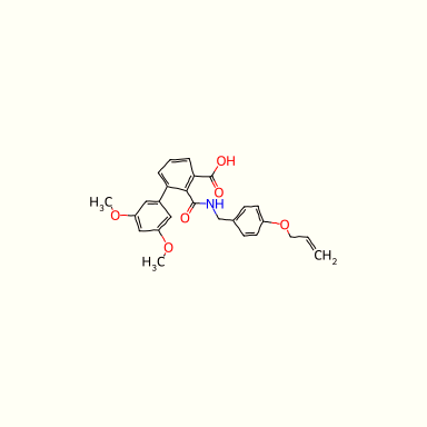 C=CCOc1ccc(CNC(=O)c2c(C(=O)O)cccc2-c2cc(OC)cc(OC)c2)cc1